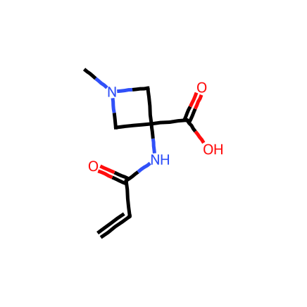 C=CC(=O)NC1(C(=O)O)CN(C)C1